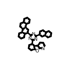 c1ccc2cc(-c3nc(-c4cc5c6ccccc6ccc5c5ccccc45)nc(-c4cccc5oc6ncccc6c45)n3)ccc2c1